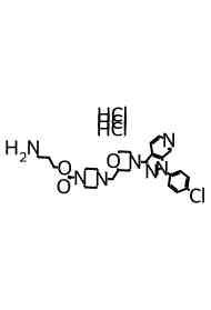 Cl.Cl.Cl.NCCCOC(=O)N1CCN(CC2CN(c3nn(-c4ccc(Cl)cc4)c4cnccc34)CCO2)CC1